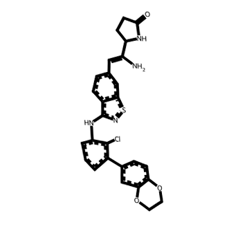 NC(=Cc1ccc2c(Nc3cccc(-c4ccc5c(c4)OCCO5)c3Cl)nsc2c1)C1CCC(=O)N1